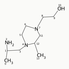 CC(N)CN1CCN(CCO)CC1C